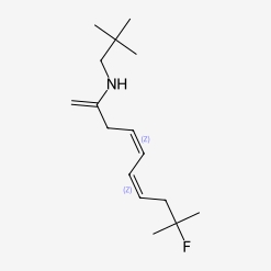 C=C(C/C=C\C=C/CC(C)(C)F)NCC(C)(C)C